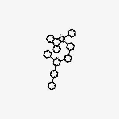 c1ccc(-c2ccc(-c3cc(-c4cccc(-c5cccc(-n6c(-c7ccccc7)nc7c8ccccc8c8ncccc8c76)c5)c4)nc(-c4ccccc4)n3)cc2)cc1